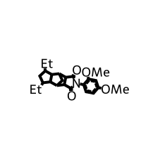 CCC1CC(CC)C2C3CC(C4C(=O)N(c5ccc(OC)cc5OC)C(=O)C34)C12